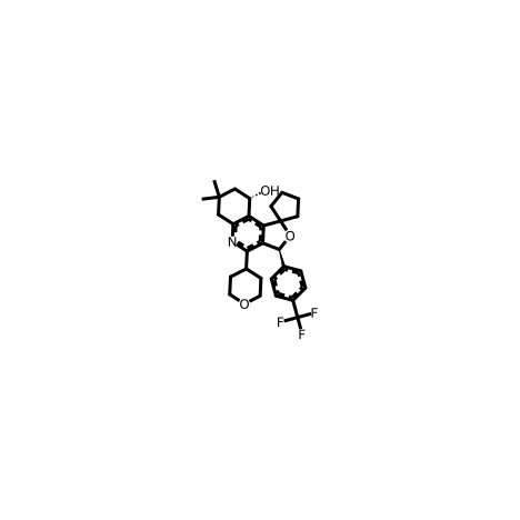 CC1(C)Cc2nc(C3CCOCC3)c3c(c2[C@@H](O)C1)C1(CCCC1)O[C@H]3c1ccc(C(F)(F)F)cc1